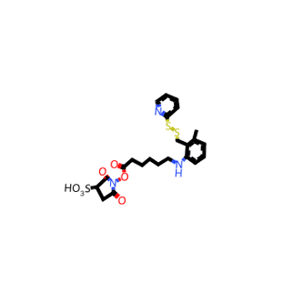 Cc1cccc(NCCCCCC(=O)ON2C(=O)CC(S(=O)(=O)O)C2=O)c1CSSc1ccccn1